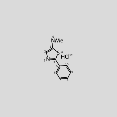 CNc1cnc(-c2ccccc2)s1.Cl